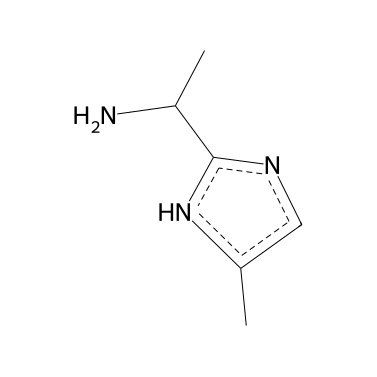 Cc1cnc(C(C)N)[nH]1